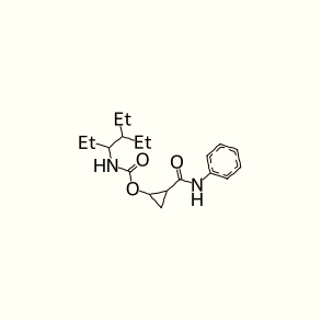 CCC(CC)C(CC)NC(=O)OC1CC1C(=O)Nc1ccccc1